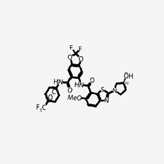 COc1ccc2nc(N3CC[C@H](O)C3)sc2c1C(=O)Nc1cc2c(cc1C(=O)NC13CCC(C(F)(F)F)(CC1)OC3)OC(F)(F)O2